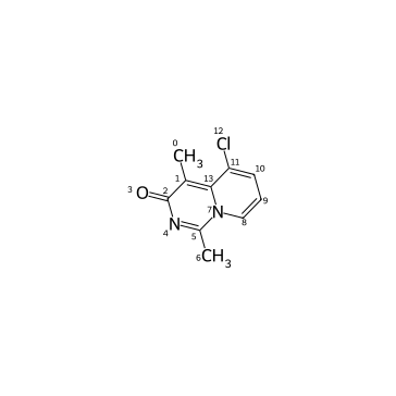 Cc1c(=O)nc(C)n2cccc(Cl)c12